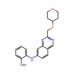 COc1ccccc1Nc1ccc2cnc(CSC3CCOCC3)nc2c1